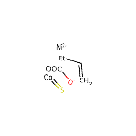 C=CCC.O=C([O-])[O-].[Ni+2].[S]=[Co]